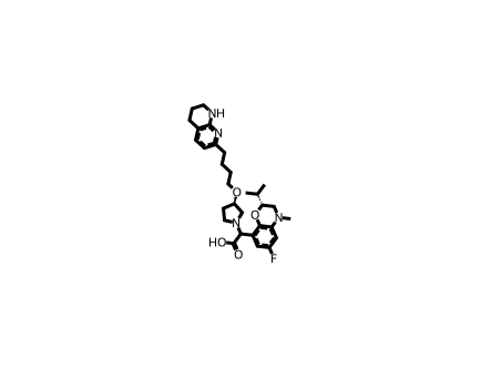 CC(C)[C@@H]1CN(C)c2cc(F)cc(C(C(=O)O)N3CC[C@@H](OCCCCc4ccc5c(n4)NCCC5)C3)c2O1